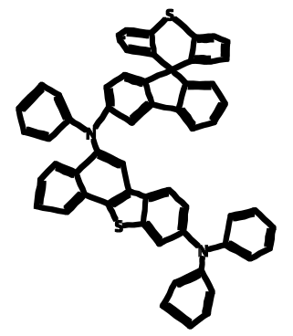 c1ccc(N(c2ccccc2)c2ccc3c(c2)sc2c4ccccc4c(N(c4ccccc4)c4ccc5c(c4)-c4ccccc4C54c5ccccc5Sc5ccccc54)cc32)cc1